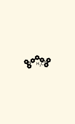 Cc1cc(-c2cccc(-c3ccc(-n4c5ccccc5c5ccccc54)cc3)c2)ccc1-n1c2ccccc2c2ccccc21